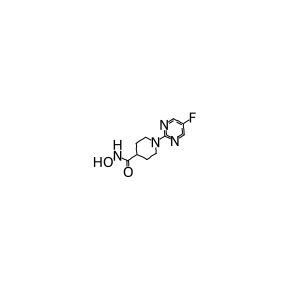 O=C(NO)C1CCN(c2ncc(F)cn2)CC1